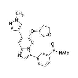 CNC(=O)c1cccc(-c2cnc3cc(-c4cnn(C)c4)c(O[C@H]4CCOC4)nn23)c1